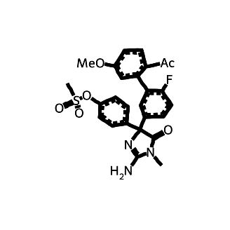 COc1ccc(C(C)=O)c(-c2cc(C3(c4ccc(OS(C)(=O)=O)cc4)N=C(N)N(C)C3=O)ccc2F)c1